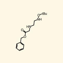 CC(C)(C)ONCCNCC(=O)OCc1ccccc1